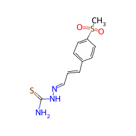 CS(=O)(=O)c1ccc(/C=C/C=N/NC(N)=S)cc1